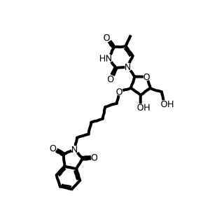 Cc1cn(C2OC(CO)C(O)C2OCCCCCCN2C(=O)c3ccccc3C2=O)c(=O)[nH]c1=O